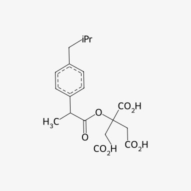 CC(C)Cc1ccc(C(C)C(=O)OC(CC(=O)O)(CC(=O)O)C(=O)O)cc1